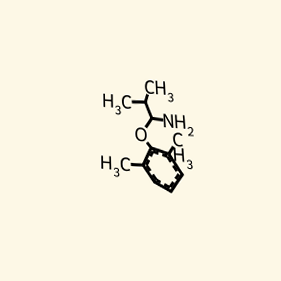 Cc1cccc(C)c1OC(N)C(C)C